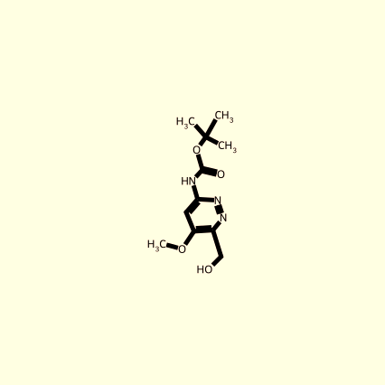 COc1cc(NC(=O)OC(C)(C)C)nnc1CO